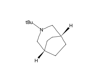 CC(C)(C)N1C[C@H]2CC[C@H](CC2)C1